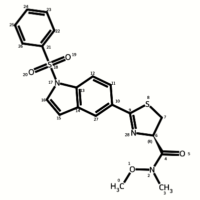 CON(C)C(=O)[C@@H]1CSC(c2ccc3c(ccn3S(=O)(=O)c3ccccc3)c2)=N1